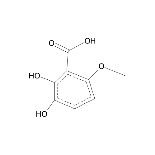 COc1ccc(O)c(O)c1C(=O)O